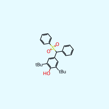 CC(C)(C)c1cc(C(c2ccccc2)S(=O)(=O)c2ccccc2)cc(C(C)(C)C)c1O